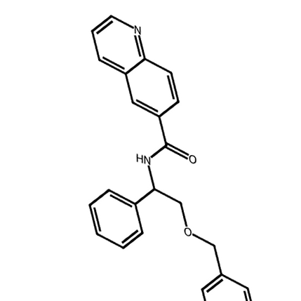 O=C(NC(COCc1ccccc1)c1ccccc1)c1ccc2ncccc2c1